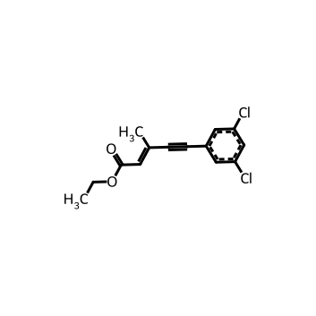 CCOC(=O)C=C(C)C#Cc1cc(Cl)cc(Cl)c1